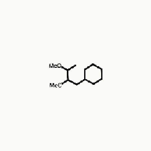 [CH2]C(OC)C(CC1CCCCC1)OC